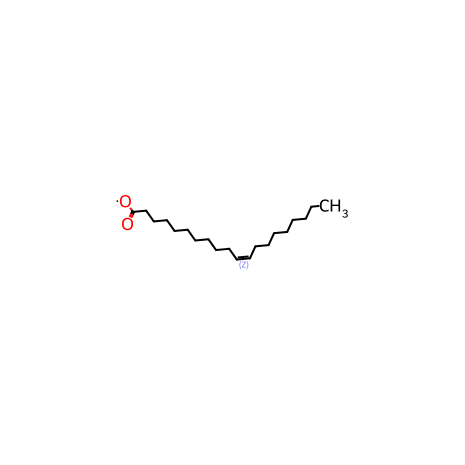 CCCCCCCC/C=C\CCCCCCCCCC([O])=O